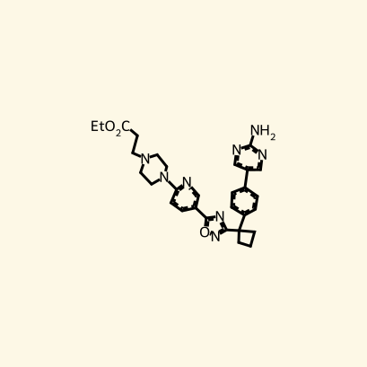 CCOC(=O)CCN1CCN(c2ccc(-c3nc(C4(c5ccc(-c6cnc(N)nc6)cc5)CCC4)no3)cn2)CC1